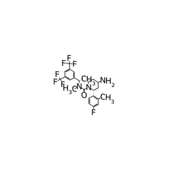 Cc1cc(F)ccc1[C@H]1CC(N)CCN1C(=O)N(C)[C@@H](C)c1cc(C(F)(F)F)cc(C(F)(F)F)c1